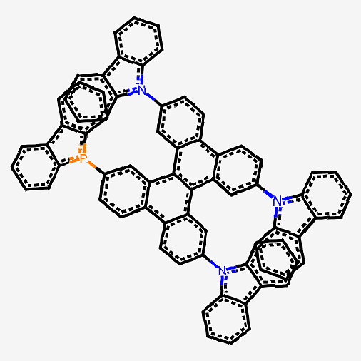 c1ccc2c(c1)c1ccccc1n2-c1ccc2c3ccc(-n4c5ccccc5c5ccccc54)cc3c3c4cc(-p5c6ccccc6c6ccccc65)ccc4c4ccc(-n5c6ccccc6c6ccccc65)cc4c3c2c1